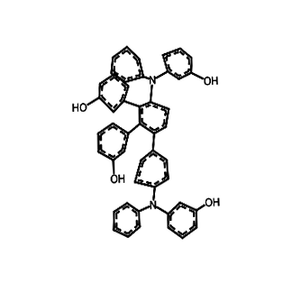 Oc1cccc(-c2c(-c3ccc(N(c4ccccc4)c4cccc(O)c4)cc3)ccc(N(c3ccccc3)c3cccc(O)c3)c2-c2cccc(O)c2)c1